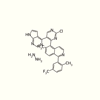 Cc1ccc(C(F)(F)F)cc1-c1nccc2c(-c3nc(Cl)ncc3-c3ncnc4[nH]ccc34)c(C)ccc12.NN